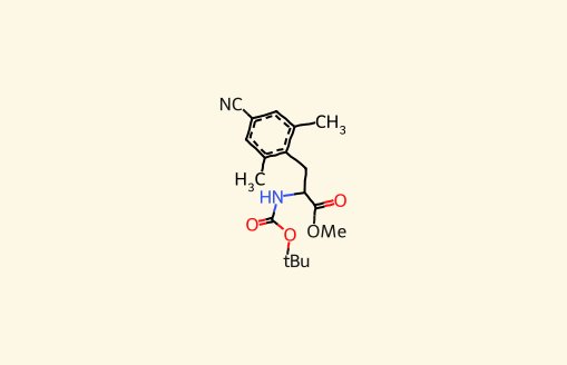 COC(=O)C(Cc1c(C)cc(C#N)cc1C)NC(=O)OC(C)(C)C